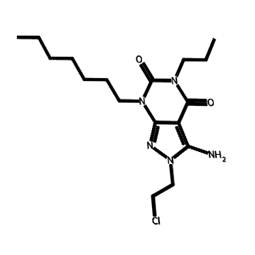 CCCCCCCn1c(=O)n(CCC)c(=O)c2c(N)n(CCCl)nc21